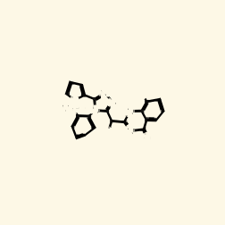 COc1ccccc1-n1c(-c2cccs2)nnc1C(S)c1nc(=O)c2cccc(F)c2[nH]1